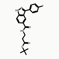 CC(C)(C)OC(=O)CCNC(=O)c1ccc2[nH]nc(-c3ccc(F)cc3)c2c1